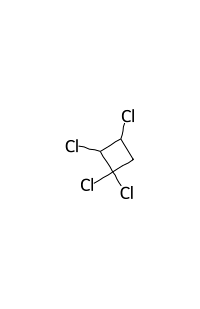 ClC1CC(Cl)(Cl)C1Cl